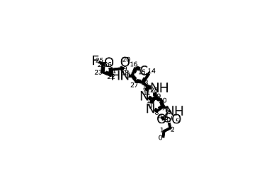 CCCS(=O)(=O)Nc1cnc2nc(-c3cccc(NC(=O)c4ccc(F)o4)c3)[nH]c2c1